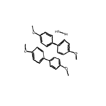 COc1ccc(-c2ccc(OC)cc2)cc1.COc1ccc(-c2ccc(OC)cc2)cc1.SS